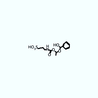 CC(OC(=O)NCCCS(=O)(=O)O)OC(O)c1ccccc1